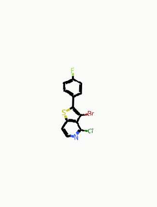 Fc1ccc(-c2sc3ccnc(Cl)c3c2Br)cc1